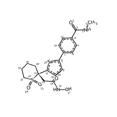 CNC(=O)c1ccc(-c2ccc([C@@]3(CC(=O)NO)CCCCS3(=O)=O)s2)cc1